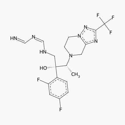 C[C@@H](N1CCn2nc(C(F)(F)F)nc2C1)[C@](O)(CN/C=N\C=N)c1ccc(F)cc1F